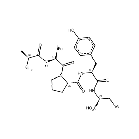 CC[C@H](C)[C@H](NC(=O)[C@H](C)N)C(=O)N1CCC[C@H]1C(=O)N[C@@H](Cc1ccc(O)cc1)C(=O)N[C@@H](CC(C)C)C(=O)O